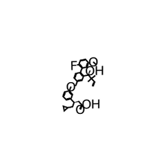 C=CC(C)(C)[C@H](O)c1cc(COc2cccc([C@@H](CC(=O)O)CC3CC3)c2)ccc1-c1cc(OC)ccc1F